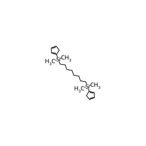 C[Si](C)(CCCCCCCC[Si](C)(C)C1=CC=CC1)C1=CC=CC1